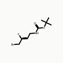 CC(C)(C)OC(=O)NC/C=C(\F)CBr